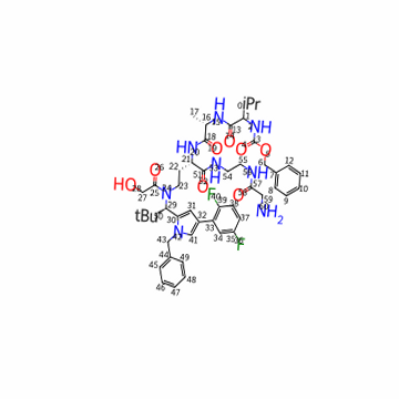 CC(C)C(NC(=O)OCc1ccccc1)C(=O)N[C@@H](C)C(=O)N[C@@H](CCN(C(=O)CO)[C@@H](c1cc(-c2cc(F)ccc2F)cn1Cc1ccccc1)C(C)(C)C)C(=O)NCCNC(=O)CN